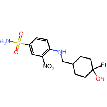 CCC1(O)CCC(CNc2ccc(S(N)(=O)=O)cc2[N+](=O)[O-])CC1